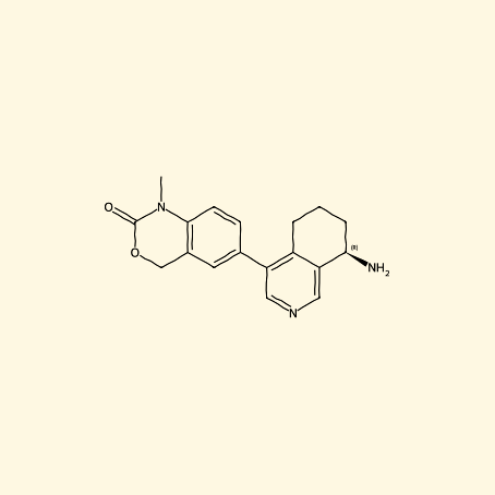 CN1C(=O)OCc2cc(-c3cncc4c3CCC[C@H]4N)ccc21